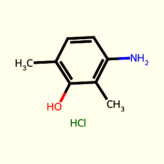 Cc1ccc(N)c(C)c1O.Cl